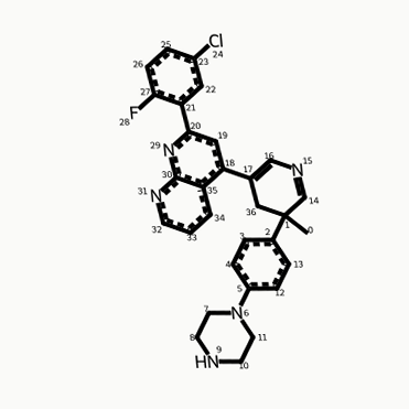 CC1(c2ccc(N3CCNCC3)cc2)C=NC=C(c2cc(-c3cc(Cl)ccc3F)nc3ncccc23)C1